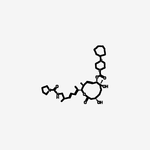 C/C(=C\C=C\C(C)CNC(=O)N1CCCC1)[C@H]1OC(=O)C[C@@H](O)CC[C@](C)(O)[C@@H](OC(=O)N2CCN(C3CCCCCC3)CC2)/C=C/[C@@H]1C